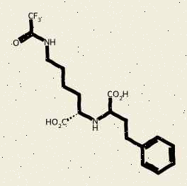 O=C(O)C(CCc1ccccc1)N[C@@H](CCCCNC(=O)C(F)(F)F)C(=O)O